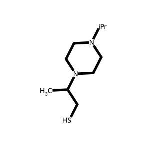 CC(C)N1CCN(C(C)CS)CC1